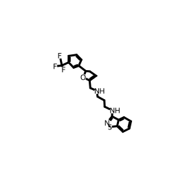 FC(F)(F)c1cccc(C2CC=C(CNCCCNc3nsc4ccccc34)O2)c1